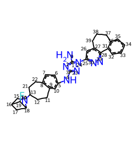 Nc1nc(Nc2ccc3c(c2)CCC(N2CC4CC2C4F)CC3)nn1-c1cc2c(nn1)-c1ccccc1CCC2